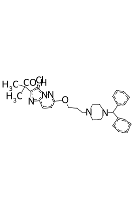 CC(C)(C(=O)O)c1nc2ccc(OCCCN3CCN(C(c4ccccc4)c4ccccc4)CC3)nn2c1Cl